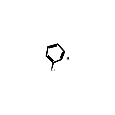 I.[Sn][c]1ccccc1